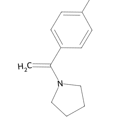 C=C(c1ccc(C=O)cc1)N1CCCC1